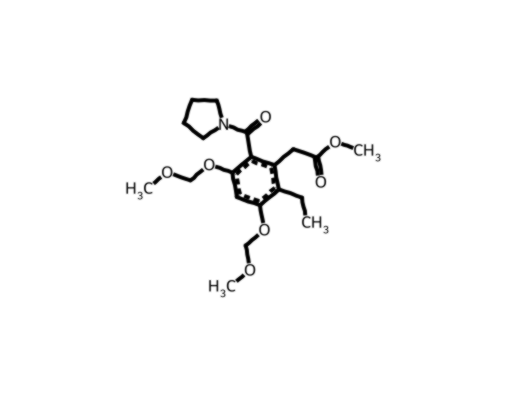 CCc1c(OCOC)cc(OCOC)c(C(=O)N2CCCC2)c1CC(=O)OC